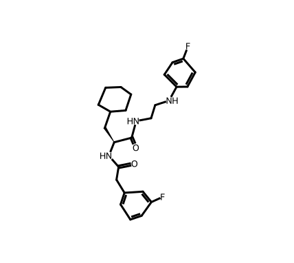 O=C(Cc1cccc(F)c1)N[C@@H](CC1CCCCC1)C(=O)NCCNc1ccc(F)cc1